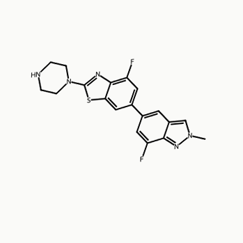 Cn1cc2cc(-c3cc(F)c4nc(N5CCNCC5)sc4c3)cc(F)c2n1